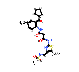 CSc1sc(NC(=O)CC(=O)Nc2ccc(C)cc2C(=O)C2CCCC2)nc1CNS(C)(=O)=O